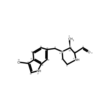 C[C@H]1C(C=O)NCCN1Cc1ccc2c(Cl)c[nH]c2c1